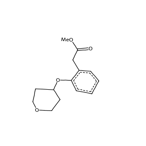 COC(=O)Cc1ccccc1OC1CCOCC1